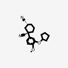 COc1ccc([C@@]2(C#N)CCC[C@@H](C#N)C2)cc1OC1CCCC1